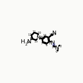 CN(C)/C=N/c1ccc(N2CCC[C@H](N)C2)cc1C#N